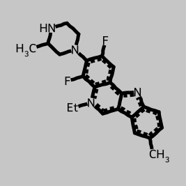 CCn1cc2c3cc(C)ccc3nc-2c2cc(F)c(N3CCNC(C)C3)c(F)c21